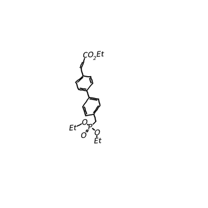 CCOC(=O)C=Cc1ccc(-c2ccc(CP(=O)(OCC)OCC)cc2)cc1